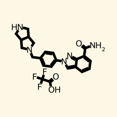 NC(=O)c1cccc2cn(-c3ccc(CN4CC5CNCC5C4)cc3)nc12.O=C(O)C(F)(F)F